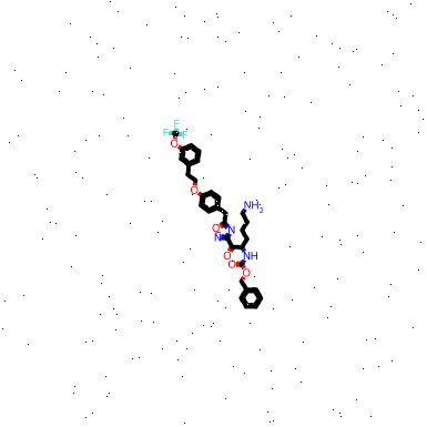 NCCCCC(NC(=O)OCc1ccccc1)C(=O)c1noc(Cc2ccc(OCCc3cccc(OC(F)(F)F)c3)cc2)n1